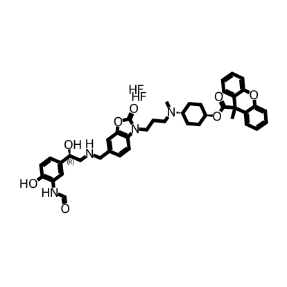 CN(CCCn1c(=O)oc2cc(CNC[C@H](O)c3ccc(O)c(NC=O)c3)ccc21)[C@H]1CC[C@H](OC(=O)C2(C)c3ccccc3Oc3ccccc32)CC1.F.F